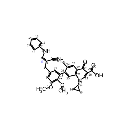 COc1cc(C/C(C#N)=C/Nc2ccccc2)cc(-c2cc3c(cc2F)c(=O)c(C(=O)O)cn3C2CC2)c1OC